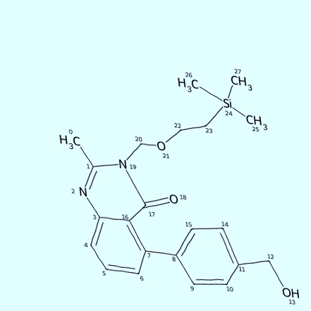 Cc1nc2cccc(-c3ccc(CO)cc3)c2c(=O)n1COCC[Si](C)(C)C